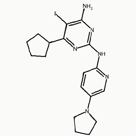 Nc1nc(Nc2ccc(N3CCCC3)cn2)nc(C2CCCC2)c1I